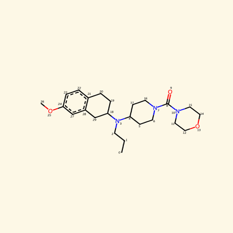 CCCN(C1CCN(C(=O)N2CCOCC2)CC1)C1CCc2ccc(OC)cc2C1